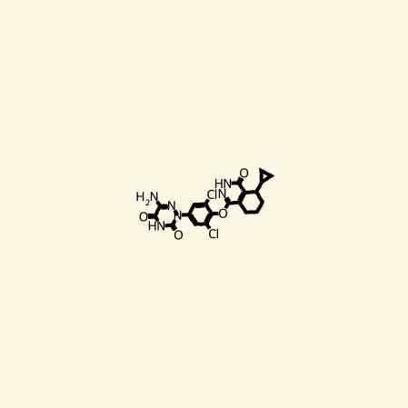 Nc1nn(-c2cc(Cl)c(Oc3n[nH]c(=O)c4c3CCCC4C3CC3)c(Cl)c2)c(=O)[nH]c1=O